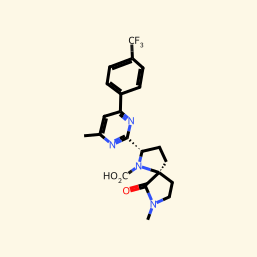 Cc1cc(-c2ccc(C(F)(F)F)cc2)nc([C@@H]2CC[C@@]3(CCN(C)C3=O)N2C(=O)O)n1